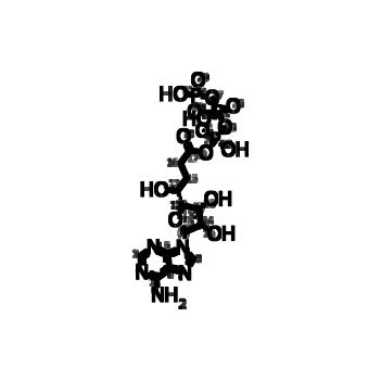 Nc1ncnc2c1ncn2[C@@H]1O[C@H](C(O)CCC(=O)OP(=O)(O)OP(=O)(O)OP(=O)(O)O)[C@@H](O)[C@H]1O